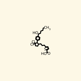 CCCCCC(O)c1ccc(C2C(CCCc3ccc(C(=O)O)s3)CCC2(Cl)Cl)cc1